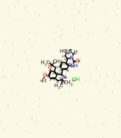 CCOc1cc2c(c3c1OC(C)(C)C3)C(c1ccc3c(c1)NC(=O)N(CC(=O)O)C3CC(=O)O)=NC(C)(C)C2.Cl